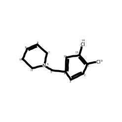 Clc1ccc(CN2CC=CCC2)cc1Cl